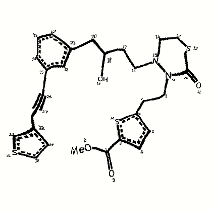 COC(=O)c1ccc(CCN2C(=O)SCCN2CCC(O)Cc2cccc(C#Cc3ccsc3)c2)s1